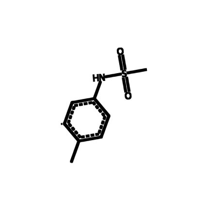 Cc1[c]cc(NS(C)(=O)=O)cc1